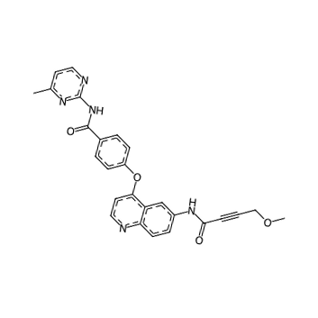 COCC#CC(=O)Nc1ccc2nccc(Oc3ccc(C(=O)Nc4nccc(C)n4)cc3)c2c1